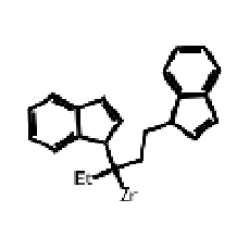 CC[C]([Zr])(CCC1C=Cc2ccccc21)C1C=Cc2ccccc21